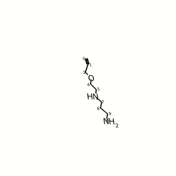 C#CCOCCNCCCN